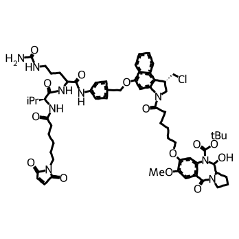 COc1cc2c(cc1OCCCCCC(=O)N1C[C@@H](CCl)c3c1cc(OCc1ccc(NC(=O)C(CCCNC(N)=O)NC(=O)[C@@H](NC(=O)CCCCCN4C(=O)C=CC4=O)C(C)C)cc1)c1ccccc31)N(C(=O)OC(C)(C)C)C(O)C1CCCN1C2=O